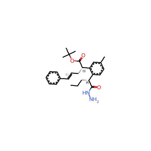 CCC[C@@H](C(=O)NN)c1ccc(C)cc1[C@H](C/C=C/c1ccccc1)C(=O)OC(C)(C)C